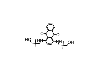 CC(C)(CO)CNc1ccc(NCC(C)(C)CO)c2c1C(=O)c1ccccc1C2=O